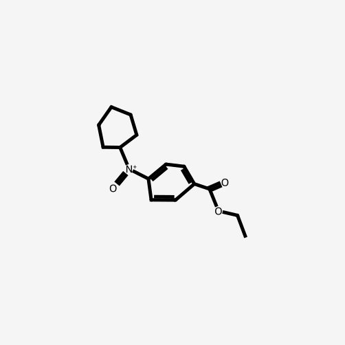 CCOC(=O)c1ccc([N+](=O)C2CCCCC2)cc1